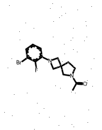 CC(=O)N1CCC2(C1)CN(c1cccc(Br)c1F)C2